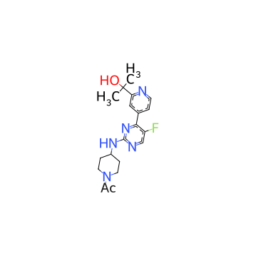 CC(=O)N1CCC(Nc2ncc(F)c(-c3ccnc(C(C)(C)O)c3)n2)CC1